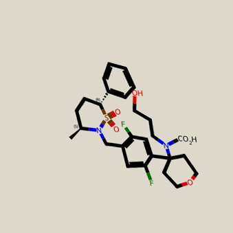 C[C@H]1CC[C@H](c2ccccc2)S(=O)(=O)N1Cc1cc(F)c(C2(N(CCCO)C(=O)O)CCOCC2)cc1F